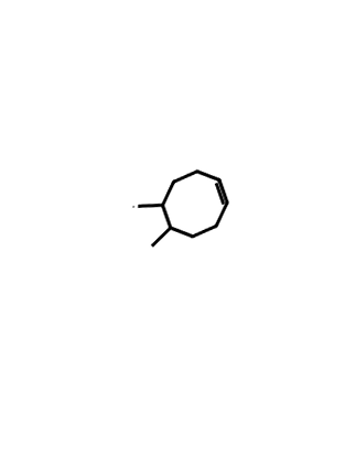 [CH2]C1CC/C=C\CCC1C